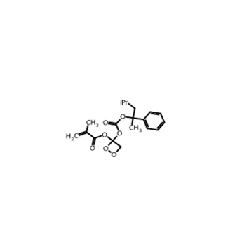 C=C(C)C(=O)OC1(OC(=O)OC(C)(CC(C)C)c2ccccc2)COO1